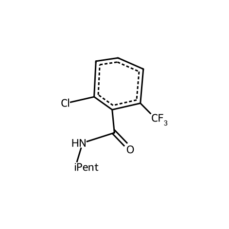 CCCC(C)NC(=O)c1c(Cl)cccc1C(F)(F)F